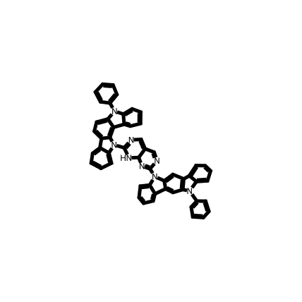 C1=NC(n2c3ccccc3c3cc4c(cc32)c2ccccc2n4-c2ccccc2)=NC2NC(n3c4ccccc4c4ccc5c(c6ccccc6n5-c5ccccc5)c43)=NC=C12